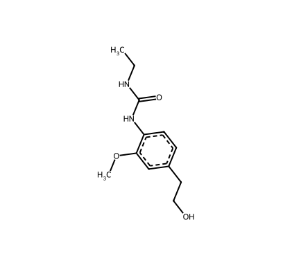 CCNC(=O)Nc1ccc(CCO)cc1OC